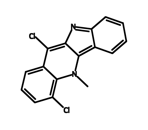 Cn1c2c3ccccc3nc-2c(Cl)c2cccc(Cl)c21